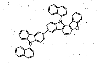 c1ccc2c(-n3c4ccccc4c4cc(-c5ccc6c(c5)c5ccc7oc8ccccc8c7c5n6-c5cccc6ccccc56)ccc43)cccc2c1